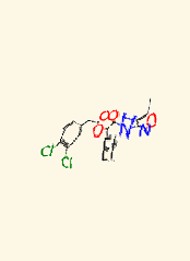 CCC(OC(=O)Cc1ccc(Cl)c(Cl)c1)C(=O)Nc1cc(C)on1